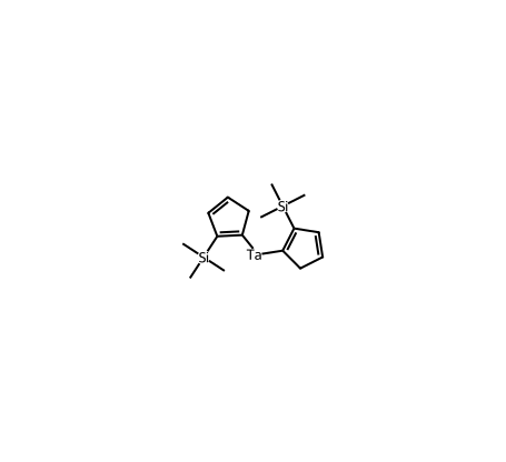 C[Si](C)(C)C1=[C]([Ta][C]2=C([Si](C)(C)C)C=CC2)CC=C1